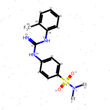 CCN(CC)S(=O)(=O)c1ccc(NC(=N)Nc2ccccc2C(F)(F)F)cc1